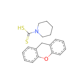 S=C(S)N1CCCCC1.c1ccc2c(c1)Cc1ccccc1O2